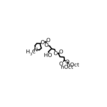 CCCCCCCCOC(CCC(=O)OCC(CO)COC(=O)OC1CCN(C)CC1)OCCCCCCCC